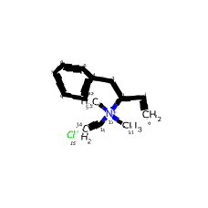 C=CC(Cc1ccccc1)[N+](C)(C)C=C.[Cl-]